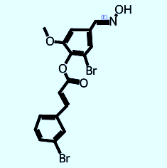 COc1cc(/C=N/O)cc(Br)c1OC(=O)C=Cc1cccc(Br)c1